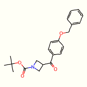 CC(C)(C)OC(=O)N1CC(C(=O)c2ccc(OCc3ccccc3)cc2)C1